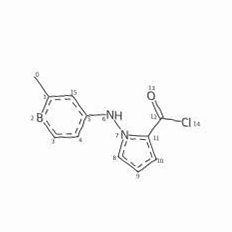 Cc1bccc(Nn2cccc2C(=O)Cl)c1